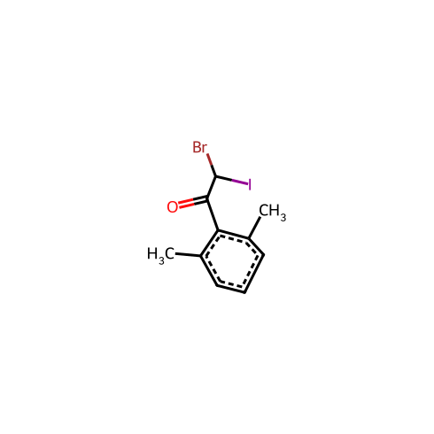 Cc1cccc(C)c1C(=O)C(Br)I